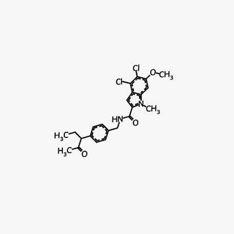 CCC(C(C)=O)c1ccc(CNC(=O)c2cc3c(Cl)c(Cl)c(OC)cc3n2C)cc1